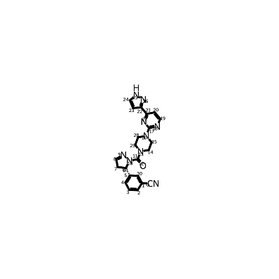 N#Cc1cccc([C@@H]2CC=NN2C(=O)N2CCN(c3nccc(-c4cc[nH]n4)n3)CC2)c1